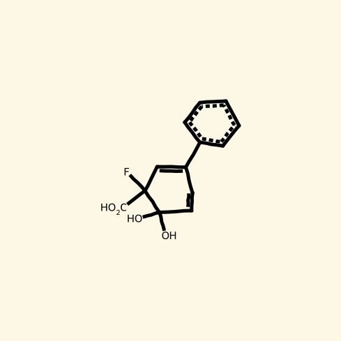 O=C(O)C1(F)C=C(c2ccccc2)C=CC1(O)O